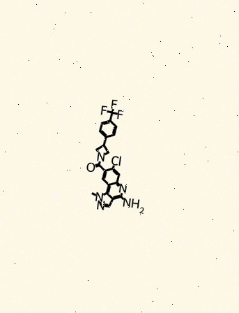 Cn1ncc2c(N)nc3cc(Cl)c(C(=O)N4CC(c5ccc(C(F)(F)F)cc5)C4)cc3c21